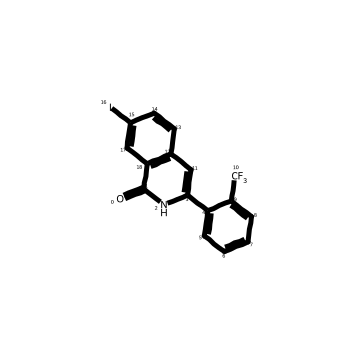 O=c1[nH]c(-c2ccccc2C(F)(F)F)cc2ccc(I)cc12